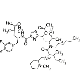 CCCCCCN(C(=O)[C@@H](NCC1CCCCN1C)[C@@H](C)CC)[C@H](C[C@@H](OC(C)=O)c1nc(C(=O)N[C@@H](Cc2ccc(N)c(F)c2)CC(C)(C)C(=O)O)cs1)C(C)C